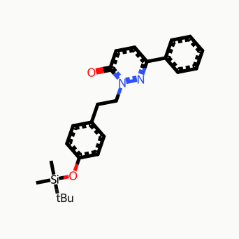 CC(C)(C)[Si](C)(C)Oc1ccc(CCn2nc(-c3ccccc3)ccc2=O)cc1